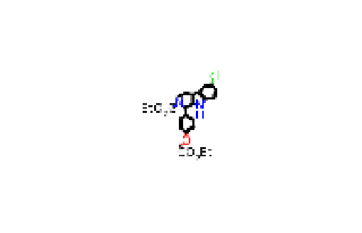 CCOC(=O)COc1ccc(C2c3[nH]c4ccc(Cl)cc4c3CCN2C(=O)OCC)cc1